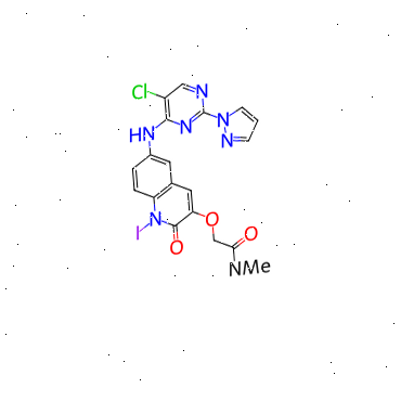 CNC(=O)COc1cc2cc(Nc3nc(-n4cccn4)ncc3Cl)ccc2n(I)c1=O